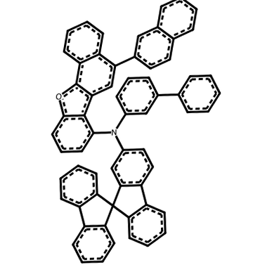 c1ccc(-c2cccc(N(c3ccc4c(c3)C3(c5ccccc5-c5ccccc53)c3ccccc3-4)c3cccc4oc5c6ccccc6c(-c6ccc7ccccc7c6)cc5c34)c2)cc1